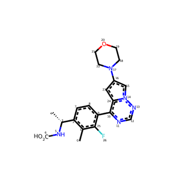 Cc1c([C@@H](C)NC(=O)O)ccc(-c2ncnn3cc(N4CCOCC4)cc23)c1F